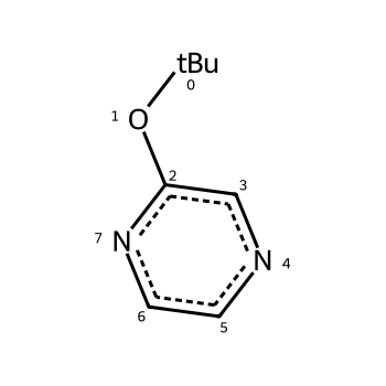 CC(C)(C)Oc1cnccn1